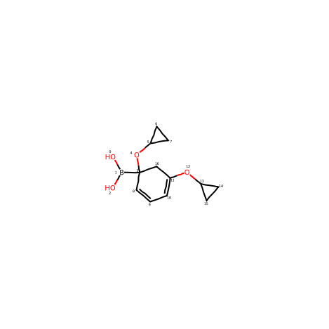 OB(O)C1(OC2CC2)C=CC=C(OC2CC2)C1